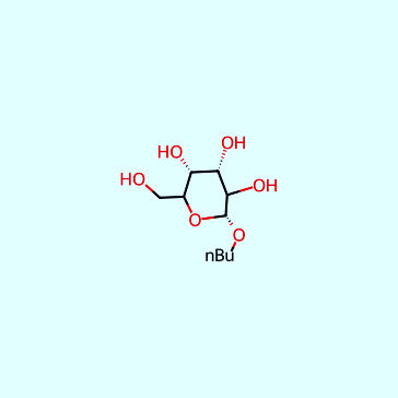 CCCCO[C@@H]1OC(CO)[C@H](O)[C@H](O)C1O